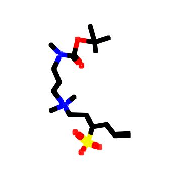 C=CCC(CC[N+](C)(C)CCCN(C)C(=O)OC(C)(C)C)S(=O)(=O)[O-]